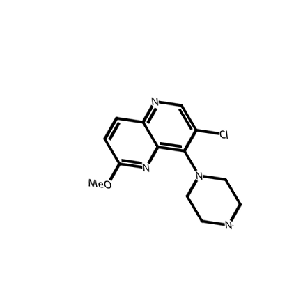 COc1ccc2ncc(Cl)c(N3CC[N]CC3)c2n1